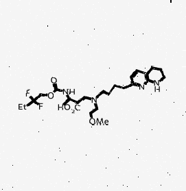 CCC(F)(F)COC(=O)NC(CCN(CCCCc1ccc2c(n1)NCCC2)CCOC)C(=O)O